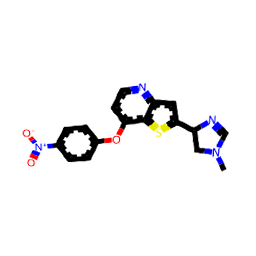 CN1C=NC(c2cc3nccc(Oc4ccc([N+](=O)[O-])cc4)c3s2)C1